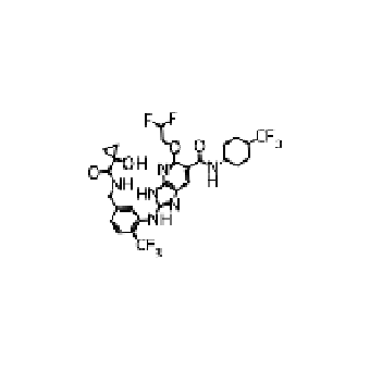 O=C(N[C@H]1CC[C@H](C(F)(F)F)CC1)c1cc2nc(Nc3cc(CNC(=O)C4(O)CC4)ccc3C(F)(F)F)[nH]c2nc1OCC(F)F